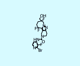 O=C(Nc1ccnc(Br)c1F)N1CCc2nn3c(c2C1)C(F)(F)CCC(F)(CO)C3